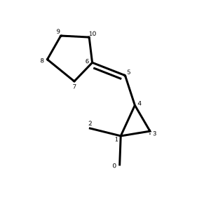 CC1(C)[CH]C1C=C1CCCC1